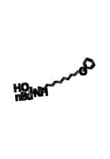 CCCC[C@@H](CO)NCCCCCCCCCCCOc1ccccc1